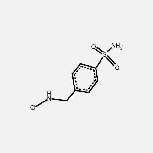 NS(=O)(=O)c1ccc(CNCl)cc1